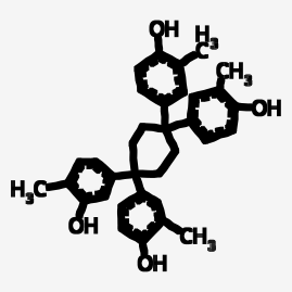 Cc1cc(C2(c3ccc(O)c(C)c3)CCC(c3ccc(O)c(C)c3)(c3ccc(C)c(O)c3)CC2)ccc1O